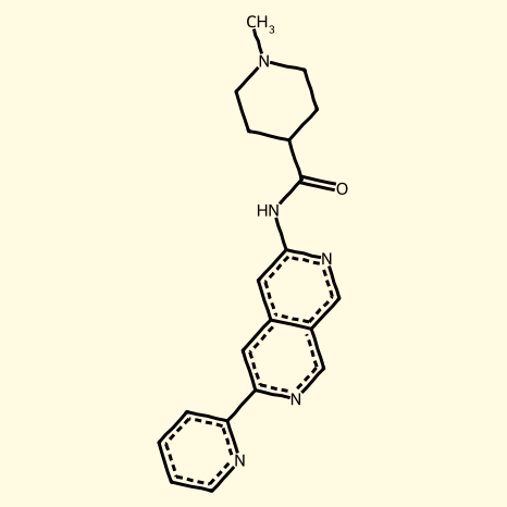 CN1CCC(C(=O)Nc2cc3cc(-c4ccccn4)ncc3cn2)CC1